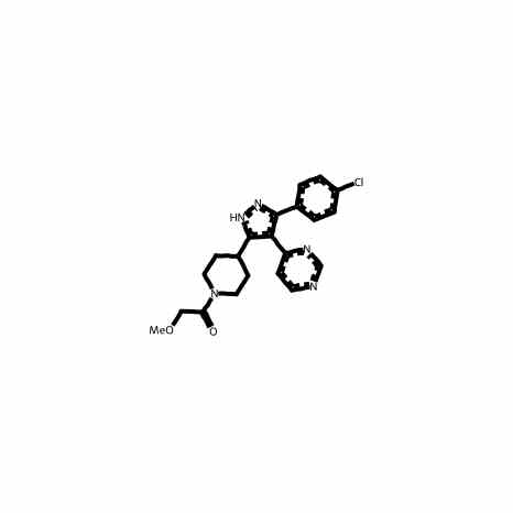 COCC(=O)N1CCC(c2[nH]nc(-c3ccc(Cl)cc3)c2-c2ccncn2)CC1